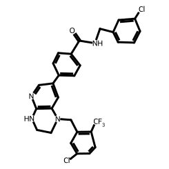 O=C(NCc1cccc(Cl)c1)c1ccc(-c2cnc3c(c2)N(Cc2cc(Cl)ccc2C(F)(F)F)CCN3)cc1